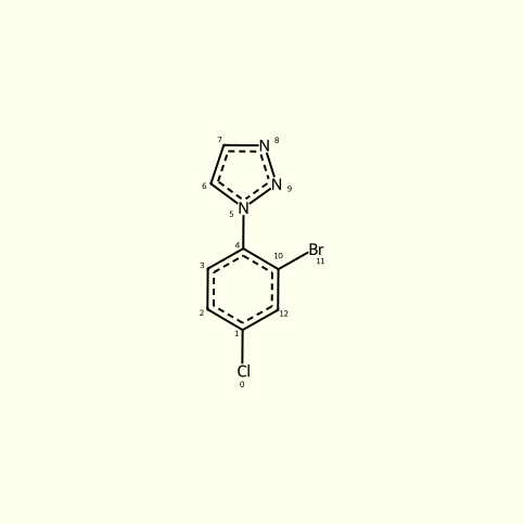 Clc1ccc(-n2ccnn2)c(Br)c1